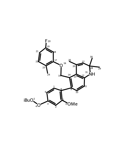 COc1cc(OOCC(C)C)ccc1-c1ccc2c(c1COc1cc(F)ccc1C)C(C)=CC(C)(C)N2